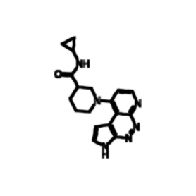 O=C(NC1CC1)C1CCCN(c2ccnc3nnc4[nH]ccc4c23)C1